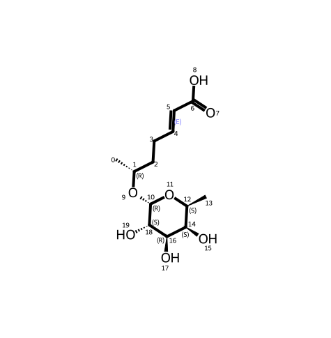 C[C@H](CC/C=C/C(=O)O)O[C@@H]1O[C@@H](C)[C@@H](O)[C@@H](O)[C@@H]1O